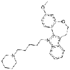 COc1ccc2c(c1)OCCc1c-2n(CCCCCN2CCCCC2)c2ccccc12